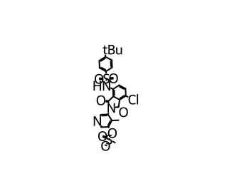 Cc1c(OS(C)(=O)=O)cncc1N1C(=O)c2c(Cl)ccc(NS(=O)(=O)c3ccc(C(C)(C)C)cc3)c2C1=O